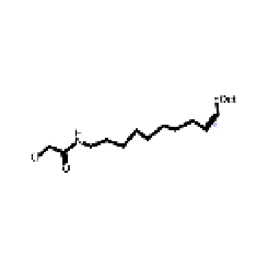 CCCCCCCC/C=C\CCCCCCCCNC(=O)CCl